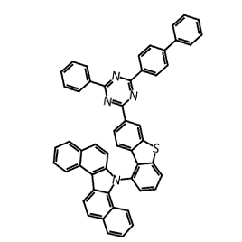 c1ccc(-c2ccc(-c3nc(-c4ccccc4)nc(-c4ccc5c(c4)sc4cccc(-n6c7ccc8ccccc8c7c7ccc8ccccc8c76)c45)n3)cc2)cc1